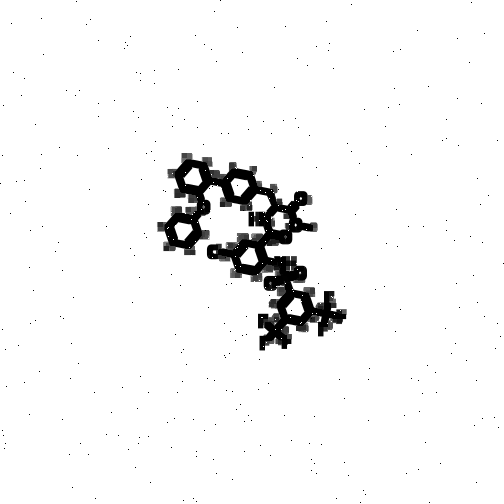 COC(=O)[C@H](Cc1ccc(-c2ccccc2Oc2ccccc2)cc1)NC(=O)c1cc(Cl)ccc1NS(=O)(=O)c1cc(C(F)(F)F)cc(C(F)(F)F)c1